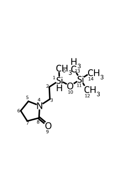 C[SiH](CCN1CCCC1=O)O[Si](C)(C)C